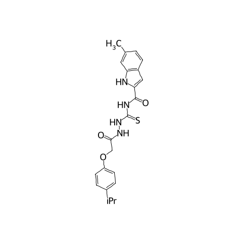 Cc1ccc2cc(C(=O)NC(=S)NNC(=O)COc3ccc(C(C)C)cc3)[nH]c2c1